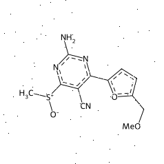 COCc1ccc(-c2nc(N)nc([S+](C)[O-])c2C#N)o1